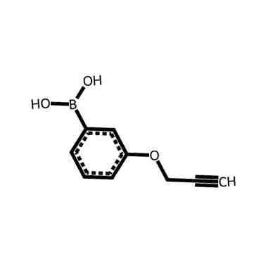 C#CCOc1cccc(B(O)O)c1